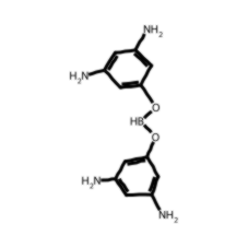 Nc1cc(N)cc(OBOc2cc(N)cc(N)c2)c1